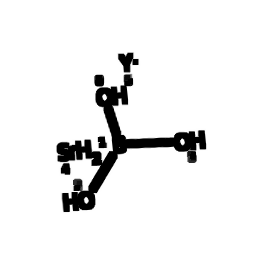 OB(O)O.[SrH2].[Y]